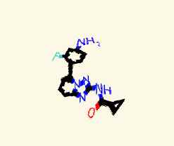 Nc1ccc(-c2cccc3nc(NC(=O)C4CC4)nn23)c(F)c1